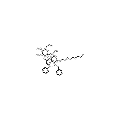 C=CC(=O)O[C@@H]1[C@@H](OC(C)=O)[C@@H](OC(C)=O)[C@@H](COC(C)=O)O[C@]1(O)O[C@H]1[C@H](OCc2ccccc2)[C@@H](OCc2ccccc2)[C@H](OCCOCCOCCCl)O[C@@H]1CO